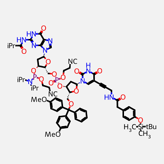 [C-]#[N+]CCOP(O[C@@H]1C[C@H](n2cnc3c(=O)[nH]c(NC(=O)C(C)C)nc32)O[C@@H]1COP(=O)(OCC[N+]#[C-])O[C@@H]1C[C@H](n2cc(C#CCNC(=O)Cc3ccc(O[Si](C)(C)C(C)(C)C)cc3)c(=O)[nH]c2=O)O[C@@H]1COC(c1ccccc1)(c1ccc(OC)cc1)c1ccc(OC)cc1)N(C(C)C)C(C)C